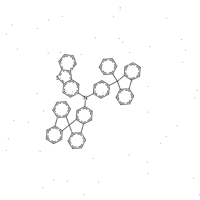 c1ccc(C2(c3ccc(N(c4ccc5c(c4)C4(c6ccccc6-c6ccccc64)c4ccccc4-5)c4ccc5sc6ccccc6c5c4)cc3)c3ccccc3-c3ccccc32)cc1